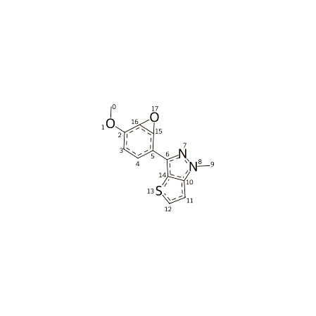 COc1ccc(-c2nn(C)c3ccsc23)c2c1O2